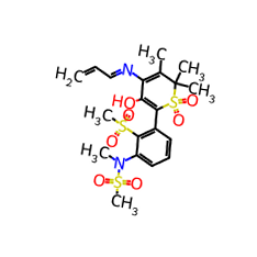 C=C/C=N/C1=C(C)C(C)(C)S(=O)(=O)C(c2cccc(N(C)S(C)(=O)=O)c2S(C)(=O)=O)=C1O